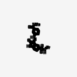 CNC(=O)c1cccc(N/N=C2\C(=O)Nc3ccc(S(=O)(=O)NC(C)C)cc32)c1